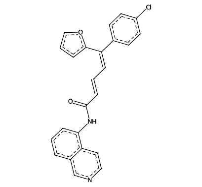 O=C(/C=C/C=C(/c1ccc(Cl)cc1)c1ccco1)Nc1cccc2cnccc12